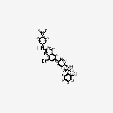 CCc1cc(-c2ccc(NS(=O)(=O)c3ccccc3Cl)nn2)cc2cnc(N[C@H]3CC[C@H](N(C)C)CC3)nc12